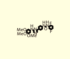 COc1cc(Nc2cncc(-c3ccc(NC(=O)Nc4cc(F)ccc4F)cc3)n2)cc(OC)c1OC